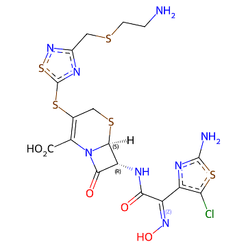 NCCSCc1nsc(SC2=C(C(=O)O)N3C(=O)[C@@H](NC(=O)/C(=N\O)c4nc(N)sc4Cl)[C@@H]3SC2)n1